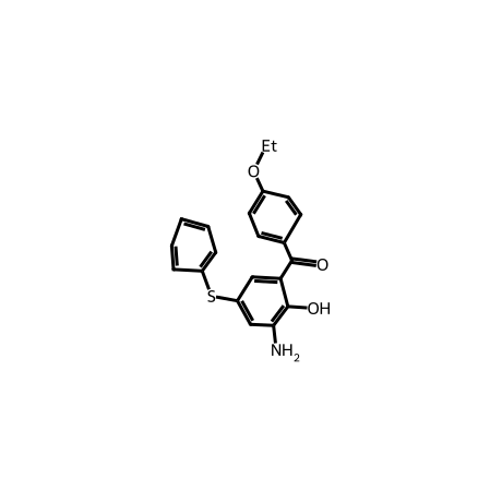 CCOc1ccc(C(=O)c2cc(Sc3ccccc3)cc(N)c2O)cc1